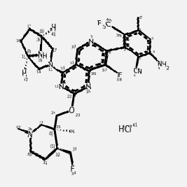 Cc1cc(N)c(C#N)c(-c2ncc3c(N4C[C@H]5CC[C@@H](C4)N5)nc(OC[C@]4(C)CN(C)CC[C@@H]4CF)nc3c2F)c1C(F)(F)F.Cl